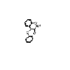 O=C1NOc2ccccc2C1Oc1ccccc1